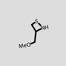 COCC1CSN1